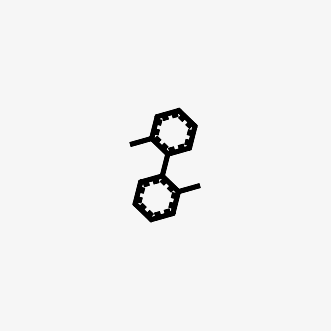 Cc1c[c]ccc1-c1cc[c]cc1C